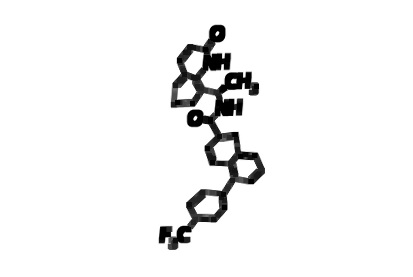 C[C@@H](NC(=O)c1ccc2c(-c3ccc(C(F)(F)F)cc3)cccc2c1)c1cccc2ccc(=O)[nH]c12